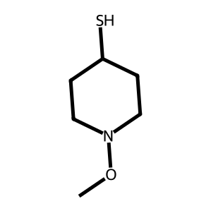 CON1CCC(S)CC1